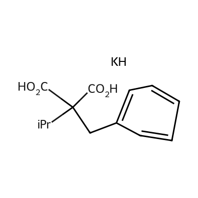 CC(C)C(Cc1ccccc1)(C(=O)O)C(=O)O.[KH]